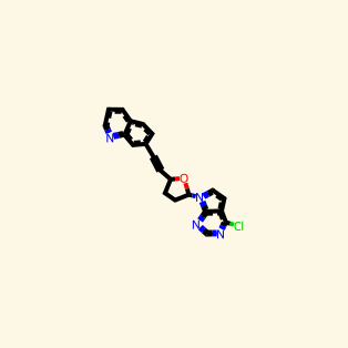 Clc1ncnc2c1ccn2C1CCC(C#Cc2ccc3cccnc3c2)O1